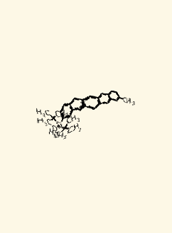 CO[Si](c1ccc2cc3cc4cc5ccc(C)cc5cc4cc3cc2c1)(C(C)(C)C)C(C)(C)C